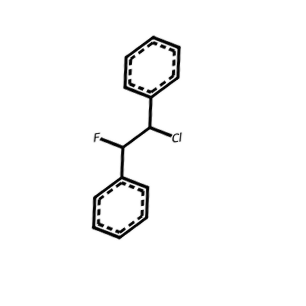 FC(c1ccccc1)C(Cl)c1ccccc1